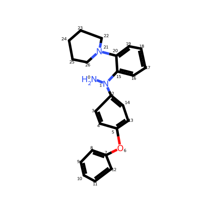 NN(c1ccc(Oc2ccccc2)cc1)c1ccccc1N1CCCCC1